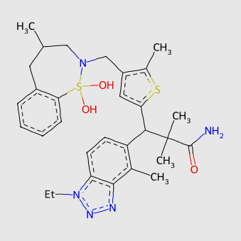 CCn1nnc2c(C)c(C(c3cc(CN4CC(C)Cc5ccccc5S4(O)O)c(C)s3)C(C)(C)C(N)=O)ccc21